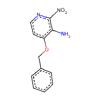 Nc1c(OCc2ccccc2)ccnc1[N+](=O)[O-]